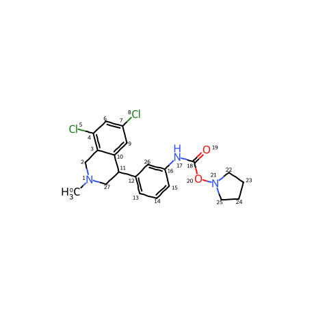 CN1Cc2c(Cl)cc(Cl)cc2C(c2cccc(NC(=O)ON3CCCC3)c2)C1